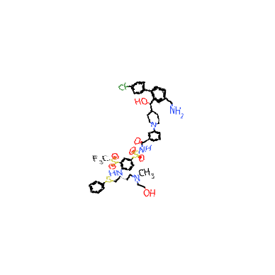 CN(CCO)CC[C@H](CSc1ccccc1)Nc1ccc(S(=O)(=O)NC(=O)c2cccc(N3CCC([C@H](O)c4cc(CN)ccc4-c4ccc(Cl)cc4)CC3)c2)cc1S(=O)(=O)C(F)(F)F